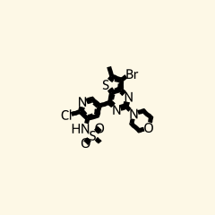 Cc1sc2c(-c3cnc(Cl)c(NS(C)(=O)=O)c3)nc(N3CCOCC3)nc2c1Br